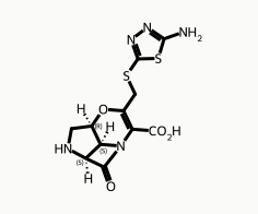 Nc1nnc(SCC2=C(C(=O)O)N3C(=O)[C@H]4NC[C@@H](O2)[C@H]43)s1